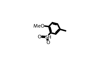 COc1ccc(C)cc1[SH](=O)=O